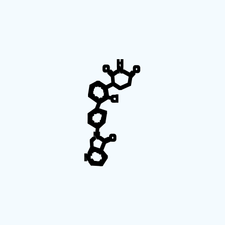 O=C1CCC(c2cccc(-c3ccc(N4Cc5ncccc5C4=O)cc3)c2Cl)C(=O)N1